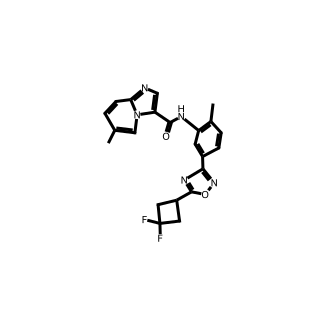 Cc1ccc2ncc(C(=O)Nc3cc(-c4noc(C5CC(F)(F)C5)n4)ccc3C)n2c1